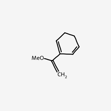 C=C(OC)C1=CCCC=C1